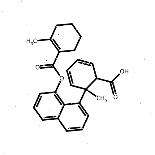 CC1=C(C(=O)Oc2cccc3cccc(C4(C)C=CC=CC4C(=O)O)c23)CCCC1